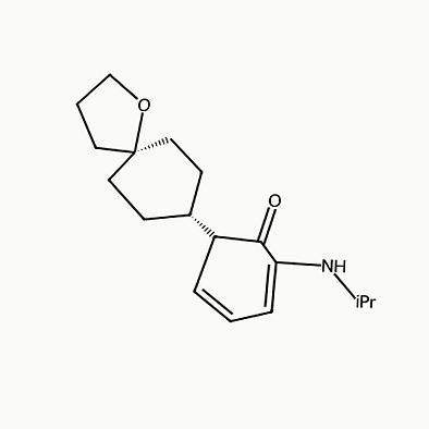 CC(C)NC1=CC=CC([C@H]2CC[C@@]3(CCCO3)CC2)C1=O